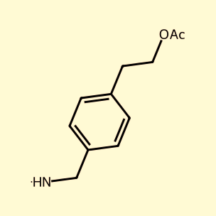 CC(=O)OCCc1ccc(C[NH])cc1